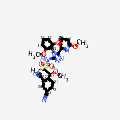 COc1cccc(-c2nnc(NS(=O)(=O)[C@H](C)[C@@H](OC)c3ccc(C#N)cc3C#N)n2-c2c(OC)cccc2OC)n1